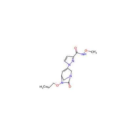 C=CCON1C(=O)N2CC(n3ccc(C(=O)NOC)n3)=CC1C2